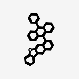 c1ccc(-c2c3ccccc3c(-c3cccc4cc5c(cc34)oc3ccccc35)c3ccccc23)cc1